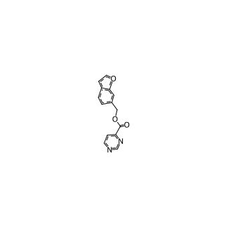 O=C(OCc1ccc2ccoc2c1)c1ccncn1